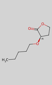 CCCCCO[C@@H]1CCOC1=O